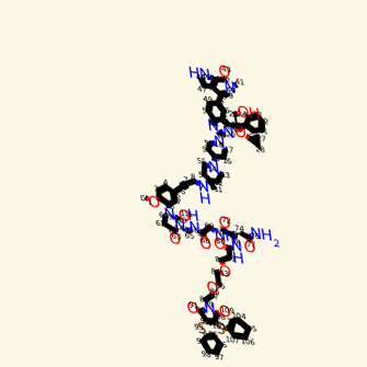 COc1ccc(C#CCNC2(C)CCN(C3CCN(c4nc([C@@](CO)(OC5CC5)c5ccccc5)c5cc(-c6cn(C)c(=O)c7[nH]ccc67)ccc5n4)CC3)CC2)cc1N1CCC(=O)N(CNC(=O)CNC(=O)[C@H](CC(N)=O)NC(=O)CCOCCOCCN2C(=O)C(Sc3ccccc3)=C(Sc3ccccc3)C2=O)C1=O